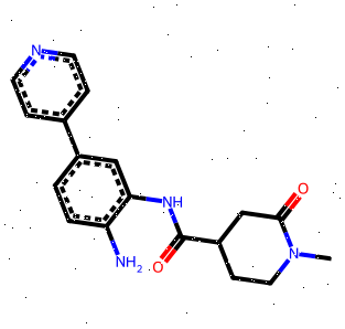 CN1CCC(C(=O)Nc2cc(-c3ccncc3)ccc2N)CC1=O